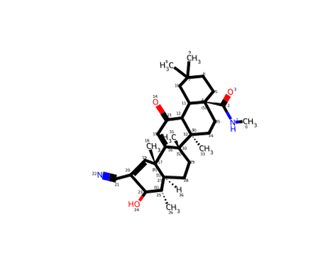 CNC(=O)[C@]12CCC(C)(C)CC1C1C(=O)C=C3[C@@]4(C)C=C(C#N)C(O)[C@@H](C)[C@@H]4CC[C@@]3(C)[C@]1(C)CC2